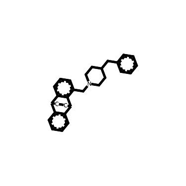 c1ccc(CC2CCN(Cc3cccc4c3C3CCC4c4ccccc43)CC2)cc1